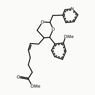 COC(=O)CCC/C=C\CC1COC(Cc2cccnc2)OC1c1ccccc1OC